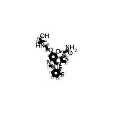 COc1cc2c(cc1OCCNC(C)(C)CO)=NCN(c1cccc(F)c1F)C=2Nc1cnn(CC(N)=O)c1